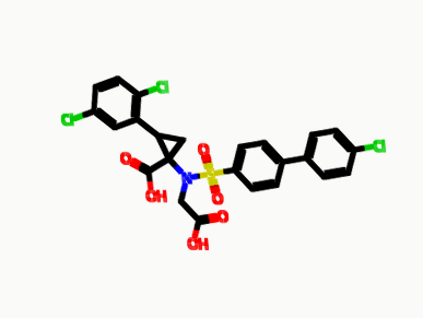 O=C(O)CN(C1(C(=O)O)CC1c1cc(Cl)ccc1Cl)S(=O)(=O)c1ccc(-c2ccc(Cl)cc2)cc1